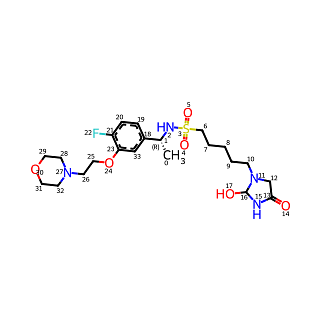 C[C@@H](NS(=O)(=O)CCCCCN1CC(=O)NC1O)c1ccc(F)c(OCCN2CCOCC2)c1